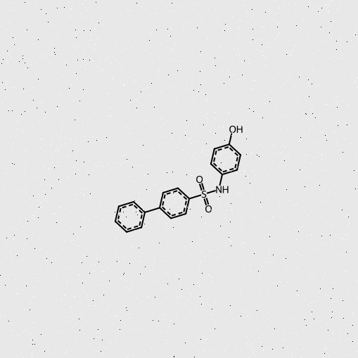 O=S(=O)(Nc1ccc(O)cc1)c1ccc(-c2ccccc2)cc1